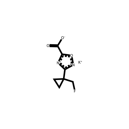 O=C([O-])c1nc(C2(CF)CC2)no1.[K+]